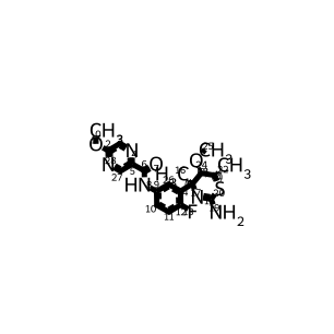 COc1cnc(C(=O)Nc2ccc(F)c([C@@]3(C)N=C(N)S[C@H](C)[C@@H]3OC)c2)cn1